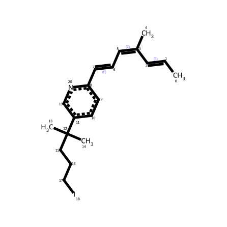 C/C=C/C(C)=C\C=C\c1ccc(C(C)(C)CCCI)cn1